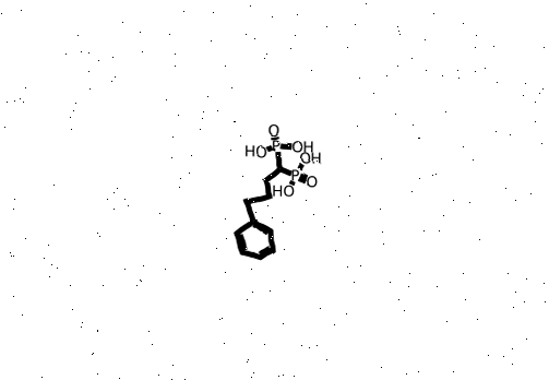 O=P(O)(O)C(CCCc1ccccc1)P(=O)(O)O